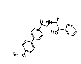 CCOc1ccc(-c2ccc(PCN[C@@H](C)[C@H](O)c3ccccc3)cc2)cc1